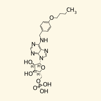 CCCCOc1ccc(CNc2ncnc3c2ncn3[C@@H]2O[C@H](COP(=O)(O)O)[C@@H](O)[C@H]2O)cc1